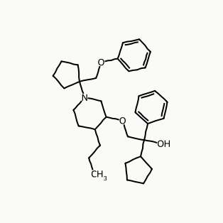 CCCC1CCN(C2(COc3ccccc3)CCCC2)CC1OCC(O)(c1ccccc1)C1CCCC1